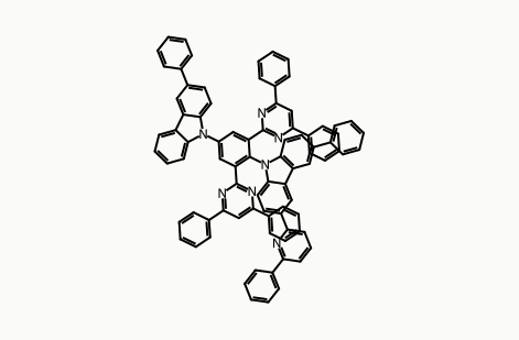 c1ccc(-c2ccc3c(c2)c2ccccc2n3-c2cc(-c3nc(-c4ccccc4)cc(-c4ccccc4)n3)c(-n3c4ccc(-c5ccccc5)cc4c4cc(-c5cccc(-c6ccccc6)n5)ccc43)c(-c3nc(-c4ccccc4)cc(-c4ccccc4)n3)c2)cc1